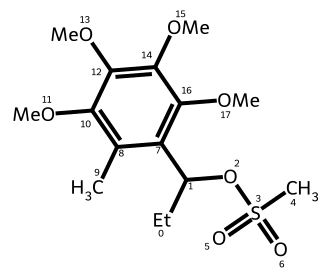 CCC(OS(C)(=O)=O)c1c(C)c(OC)c(OC)c(OC)c1OC